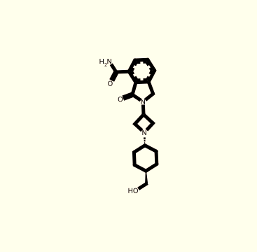 NC(=O)c1cccc2c1C(=O)N(C1CN([C@H]3CC[C@H](CO)CC3)C1)C2